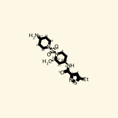 CCc1cc(C(=O)N[C@@H]2CCN(S(=O)(=O)N3CCC(N)CC3)[C@@H](C)C2)ns1